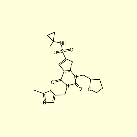 Cc1ncc(Cn2c(=O)c3cc(S(=O)(=O)NC4(C)CC4)sc3n(CC3CCCO3)c2=O)s1